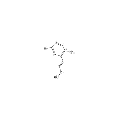 CC(C)(C)OC=Cc1cc(Br)cnc1N